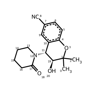 CC1(C)Oc2ccc(C#N)cc2[C@@H](N2CCCCC2=O)[C@@H]1O